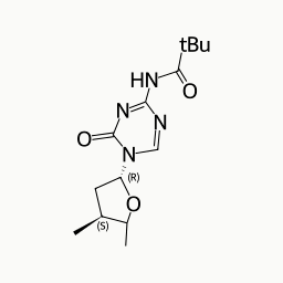 CC1O[C@@H](n2cnc(NC(=O)C(C)(C)C)nc2=O)C[C@@H]1C